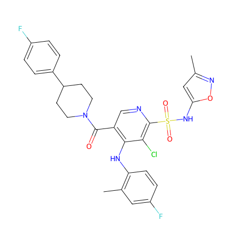 Cc1cc(NS(=O)(=O)c2ncc(C(=O)N3CCC(c4ccc(F)cc4)CC3)c(Nc3ccc(F)cc3C)c2Cl)on1